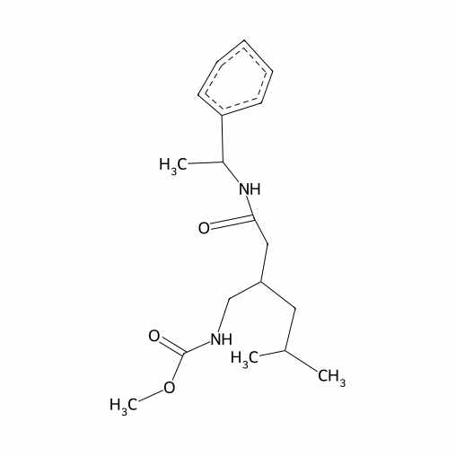 COC(=O)NCC(CC(=O)NC(C)c1ccccc1)CC(C)C